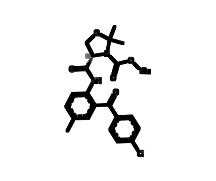 Cc1ccc(NC(=O)[C@@H]2COC(C)(C)N2C(=O)OC(C)(C)C)c(C(=O)c2ccc(Cl)cc2)c1